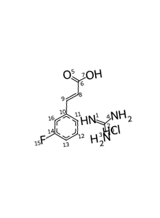 Cl.N=C(N)N.O=C(O)C=Cc1cccc(F)c1